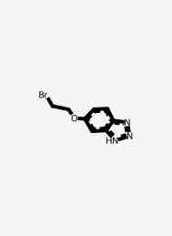 BrCCOc1ccc2nn[nH]c2c1